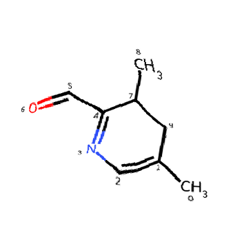 CC1=CN=C(C=O)C(C)C1